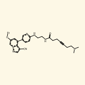 CCOc1cc(-c2ccc(NCCNC(=O)CCC#CCCN(C)C)nc2)c2c(C#N)cnn2c1